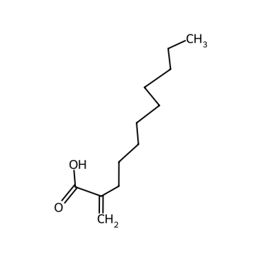 C=C(CCCCCCCCC)C(=O)O